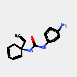 C=C[C@]1(NC(=O)Nc2ccc(N)cc2)C=CC=CC1